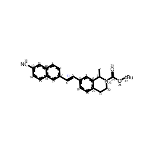 CC1c2cc(/C=C/c3ccc4cc(C#N)ccc4c3)ccc2CCN1C(=O)OC(C)(C)C